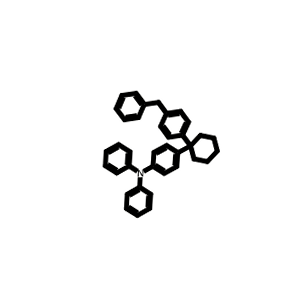 c1ccc(Cc2ccc(C3(c4ccc(N(c5ccccc5)c5ccccc5)cc4)CCCCC3)cc2)cc1